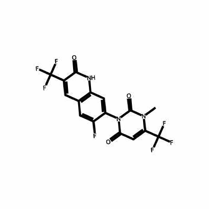 Cn1c(C(F)(F)F)cc(=O)n(-c2cc3[nH]c(=O)c(C(F)(F)F)cc3cc2F)c1=O